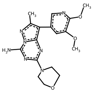 COc1cc(-c2c(C)nn3c(N)nc(N4CCOCC4)nc23)cnc1OC